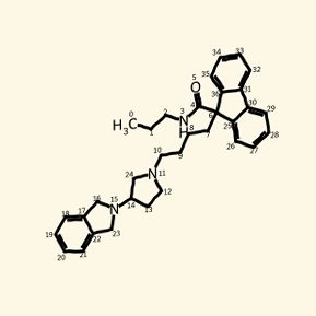 CCCNC(=O)C1(CCCCN2CCC(N3Cc4ccccc4C3)C2)c2ccccc2-c2ccccc21